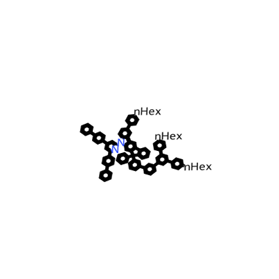 CCCCCCc1ccc(-c2cc(-c3ccc(CCCCCC)cc3)cc(-c3cccc(-c4cccc(C5(c6ccccc6)c6ccccc6-c6cc7c8cc(-c9ccc(CCCCCC)cc9)ccc8n(-c8cc(-c9ccc(-c%10ccccc%10)cc9)cc(-c9ccc(-c%10ccccc%10)cc9)n8)c7cc65)c4)c3)c2)cc1